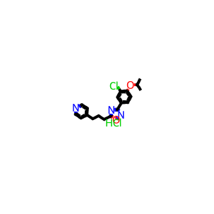 CC(C)Oc1ccc(-c2noc(CCCc3ccncc3)n2)cc1Cl.Cl